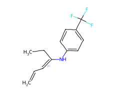 C=C/C=C(\CC)Nc1ccc(C(F)(F)F)cc1